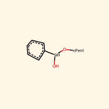 CCCCCO[SiH](O)c1ccccc1